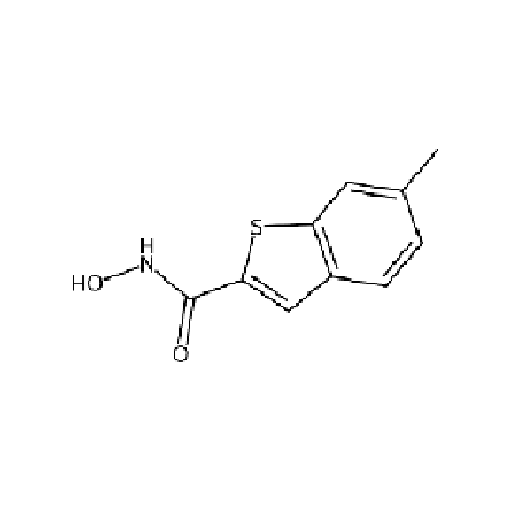 Cc1ccc2cc(C(=O)NO)sc2c1